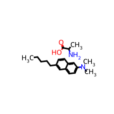 CC(N)C(=O)O.CCCCCc1ccc2cc(N(C)C)ccc2c1